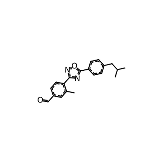 Cc1cc(C=O)ccc1-c1noc(-c2ccc(CC(C)C)cc2)n1